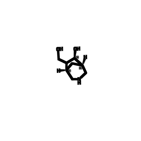 OCC1[C@@H]2CNC[C@@H](C2)[C@@H]1O